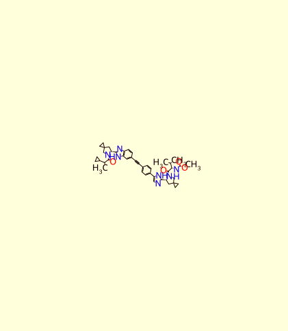 COC(=O)N[C@H](C(=O)N1CC2(CC2)C[C@H]1c1ncc(-c2ccc(C#Cc3ccc4nc([C@@H]5CC6(CC6)CN5C(=O)[C@@H](C)C5CC5)[nH]c4c3)cc2)[nH]1)C(C)C